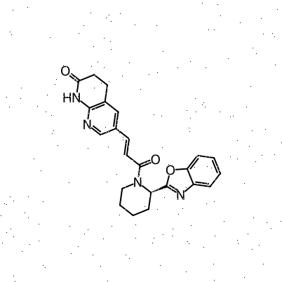 O=C1CCc2cc(/C=C/C(=O)N3CCCC[C@@H]3c3nc4ccccc4o3)cnc2N1